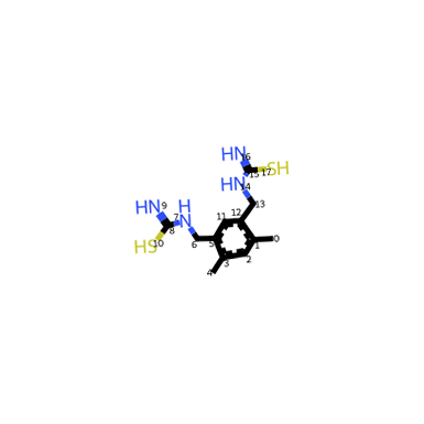 Cc1cc(C)c(CNC(=N)S)cc1CNC(=N)S